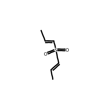 CC=CS(=O)(=O)C=CC